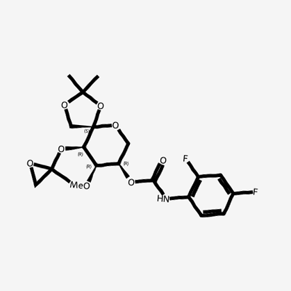 CO[C@H]1[C@@H](OC2(C)CO2)[C@@]2(COC(C)(C)O2)OC[C@H]1OC(=O)Nc1ccc(F)cc1F